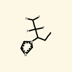 CCC(n1ccnc1)C(F)(F)C(F)F